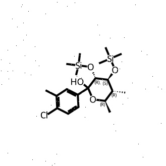 Cc1cc(C2(O)O[C@H](C)[C@@H](C)[C@H](O[Si](C)(C)C)[C@H]2O[Si](C)(C)C)ccc1Cl